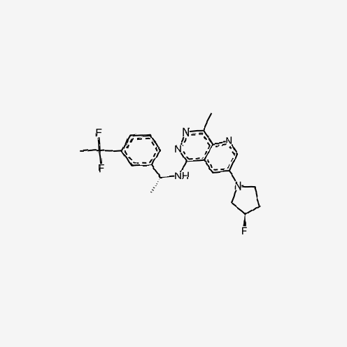 Cc1nnc(N[C@H](C)c2cccc(C(C)(F)F)c2)c2cc(N3CC[C@@H](F)C3)cnc12